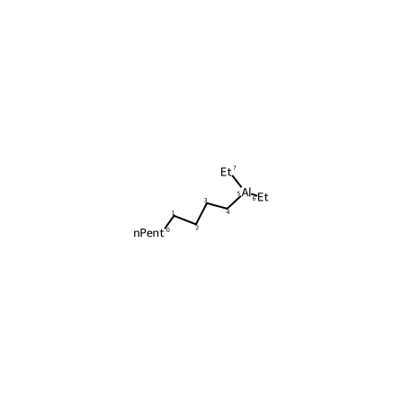 CCCCCCCC[CH2][Al]([CH2]C)[CH2]C